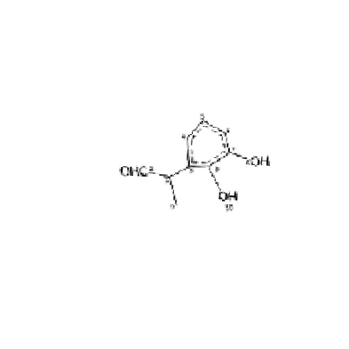 CC(C=O)c1cccc(O)c1O